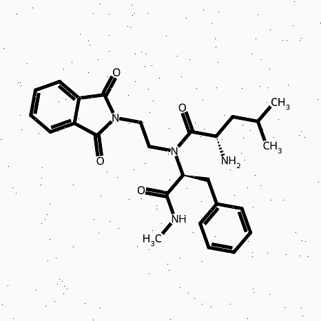 CNC(=O)[C@H](Cc1ccccc1)N(CCN1C(=O)c2ccccc2C1=O)C(=O)[C@@H](N)CC(C)C